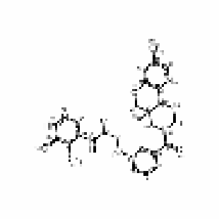 C[C@@H](COc1cccc(C(=O)N2CCN3c4ncc(C(F)(F)F)cc4OC[C@@]3(C)C2)c1)Nc1cn[nH]c(=O)c1C(F)(F)F